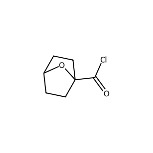 O=C(Cl)C12CCC(CC1)O2